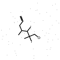 C=CCC(C)C(I)C(C)(I)C[O]